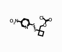 O=C(Cl)OCC1(SSc2ccc([N+](=O)[O-])cn2)CCC1